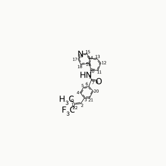 CC(=Cc1ccc(C(=O)Nc2cccc3cnccc23)cc1)C(F)(F)F